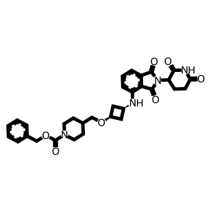 O=C1CCC(N2C(=O)c3cccc(N[C@H]4C[C@H](OCC5CCN(C(=O)OCc6ccccc6)CC5)C4)c3C2=O)C(=O)N1